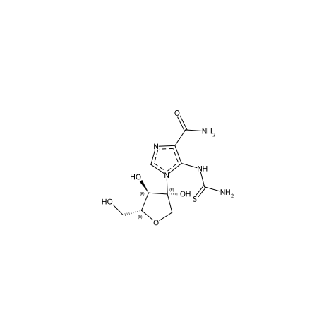 NC(=O)c1ncn([C@@]2(O)CO[C@H](CO)[C@H]2O)c1NC(N)=S